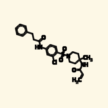 C=CC(=O)NC1(C)CCN(S(=O)(=O)c2ccc(NC(=O)CCc3ccccc3)cc2Cl)CC1